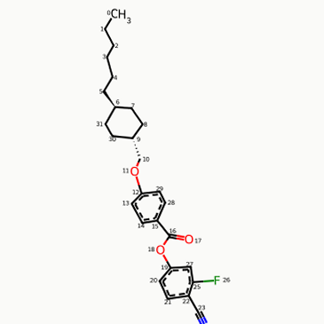 CCCCCC[C@H]1CC[C@H](COc2ccc(C(=O)Oc3ccc(C#N)c(F)c3)cc2)CC1